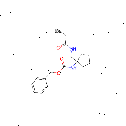 CC(C)(C)CC(=O)NCC1(NC(=O)OCc2ccccc2)CCCC1